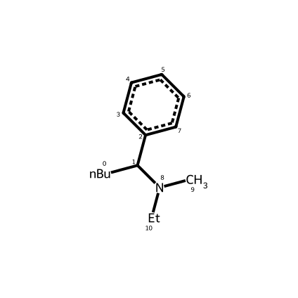 CCCCC(c1ccccc1)N(C)CC